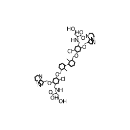 Cc1c(COc2cc(OCc3cnn4cccnc34)c(CNC(CCO)C(=O)O)cc2Cl)cccc1-c1cccc(COc2cc(OCc3cnn4cccnc34)c(CNC(CCO)C(=O)O)cc2Cl)c1C